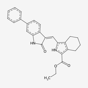 CCOC(=O)c1[nH]c(C=C2C(=O)Nc3cc(-c4ccccc4)ccc32)c2c1CCCC2